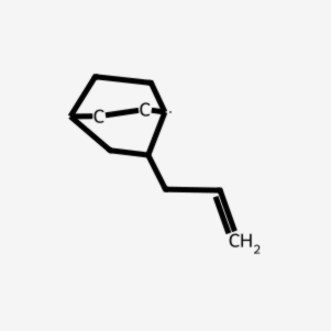 C=CCC1CC2CC[C]1CC2